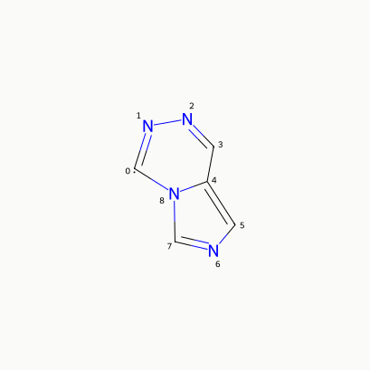 [c]1nncc2cncn12